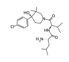 CC(C)C[C@H](N)C(=O)N[C@@H](C(=O)N1CC[C@](O)(c2ccc(Cl)cc2)C(C)(C)C1)C(C)C